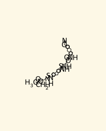 C=C(C)C(=O)OCCCNC(=S)Nc1ccc2c(c1)Cc1cc(NC(=S)NCCCOC(=O)Nc3ccc4c(c3)Cc3cc(OC#N)ccc3C4)ccc1-2